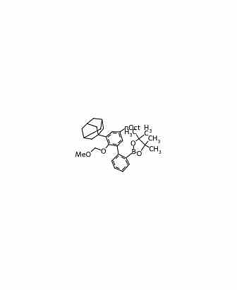 CCCCCCCCc1cc(-c2ccccc2B2OC(C)(C)C(C)(C)O2)c(OCOC)c(C23CC4CC(CC(C4)C2)C3)c1